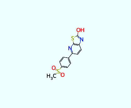 CS(=O)(=O)c1ccc(-c2ccc3nc(O)sc3n2)cc1